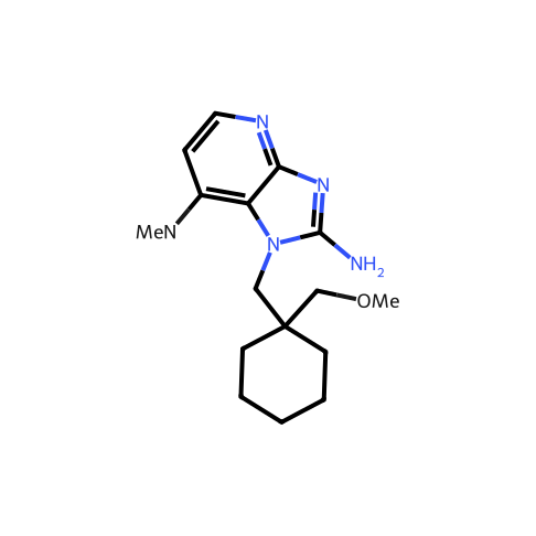 CNc1ccnc2nc(N)n(CC3(COC)CCCCC3)c12